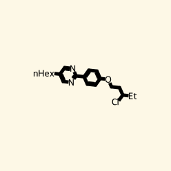 CCCCCCc1cnc(-c2ccc(OCCC(Cl)CC)cc2)nc1